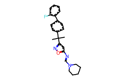 CC(C)(c1ccc(-c2ccccc2F)cc1)c1cc(N=[C]N2CCCCC2)on1